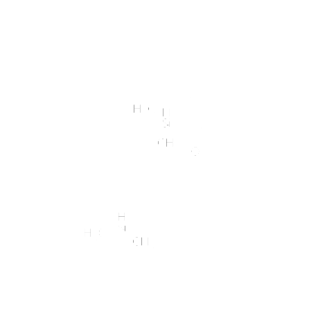 C[SiH](C)CCCCCOc1ccc2ccccc2c1[SiH](C)C